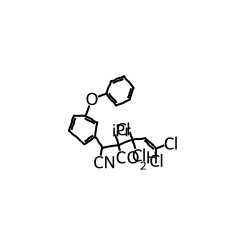 CC(C)C(C(=O)O)(C(C#N)c1cccc(Oc2ccccc2)c1)C(Cl)(Cl)C=C(Cl)Cl